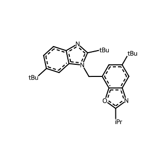 CC(C)c1nc2cc(C(C)(C)C)cc(Cn3c(C(C)(C)C)nc4ccc(C(C)(C)C)cc43)c2o1